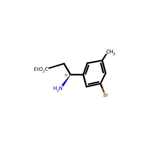 CCOC(=O)C[C@H](N)c1cc(C)cc(Br)c1